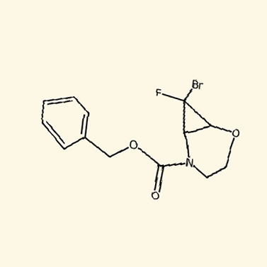 O=C(OCc1ccccc1)N1CCOC2C1C2(F)Br